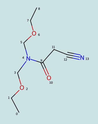 CCOCN(COCC)C(=O)CC#N